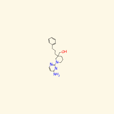 Nc1ccnc(N2CCCC(CO)(CCCc3ccccc3)C2)n1